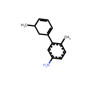 Cc1ccc(N)cc1C1=CC=CC(C)C1